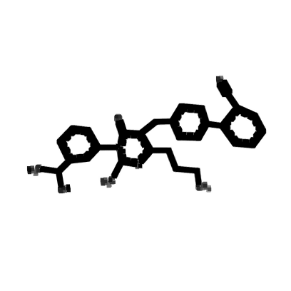 CCCCc1nc(C)n(-c2cccc(C(C)O)c2)c(=O)c1Cc1ccc(-c2ccccc2C#N)cc1